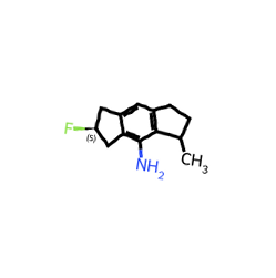 CC1CCc2cc3c(c(N)c21)C[C@@H](F)C3